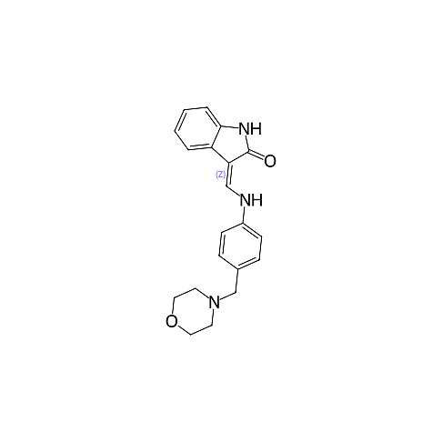 O=C1Nc2ccccc2/C1=C/Nc1ccc(CN2CCOCC2)cc1